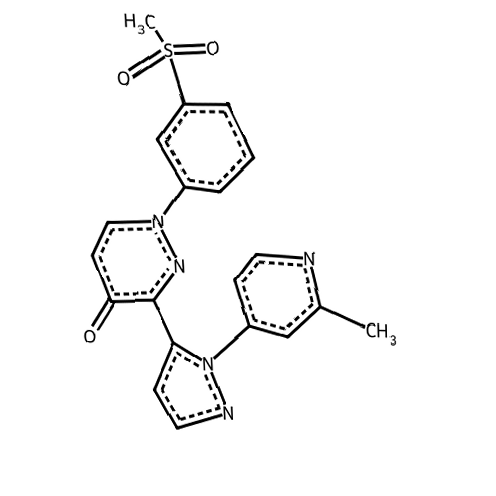 Cc1cc(-n2nccc2-c2nn(-c3cccc(S(C)(=O)=O)c3)ccc2=O)ccn1